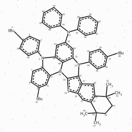 CC(C)(C)c1ccc(N2c3ccc(C(C)(C)C)cc3B3c4sc5cc6c(cc5c4N(c4ccc(C(C)(C)C)cc4)c4cc(N(c5ccccc5)c5ccccc5)cc2c43)C(C)(C)CCC6(C)C)cc1